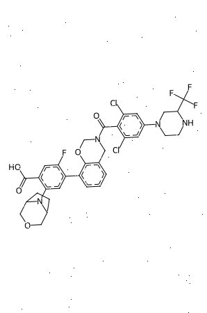 O=C(O)c1cc(F)c(-c2cccc3c2OCN(C(=O)c2c(Cl)cc(N4CCNC(C(F)(F)F)C4)cc2Cl)C3)cc1N1C2CCC1COC2